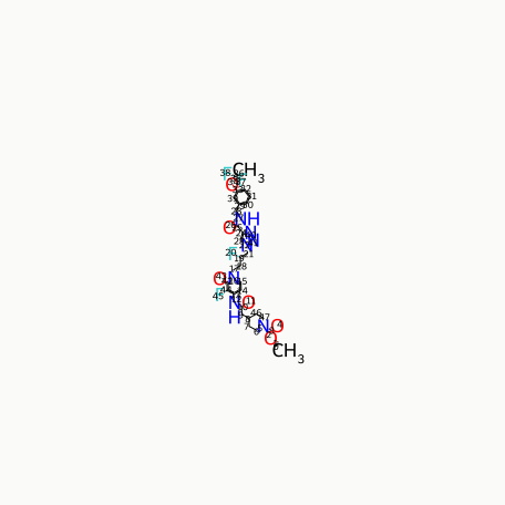 CCOC(=O)N1CCC(CC(=O)Nc2ccn(CCC(F)Cn3cc(C(=O)NCc4cccc(OC(C)(F)F)c4)nn3)c(=O)c2F)CC1